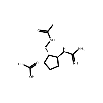 CC(=O)NC[C@H]1CCC[C@@H]1NC(=N)N.O=C(O)O